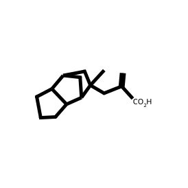 C=C(CC1(C)CC2CC1C1CCCC21)C(=O)O